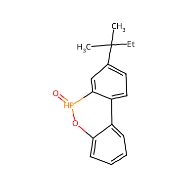 CCC(C)(C)c1ccc2c(c1)[PH](=O)Oc1ccccc1-2